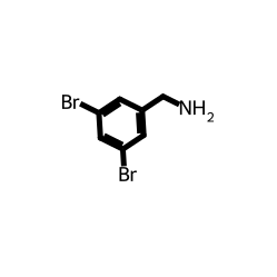 NCc1cc(Br)cc(Br)c1